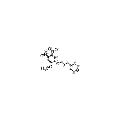 COc1cc([N+](=O)[O-])c([N+](=O)[O-])cc1OCCCN1CCOCC1